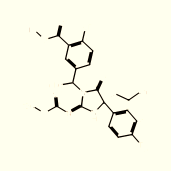 CCCCC(c1ccc(C(F)(F)F)c(C(=O)OC(C)C)c1)N1C(=O)[C@@](CCC(C)C)(c2ccc(F)cc2)N/C1=N/C(=O)OC(C)(C)C